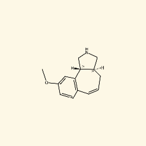 COc1ccc2c(c1)[C@@H]1CNC[C@H]1CC=C2